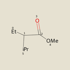 CCC(C(=O)OC)C(C)C